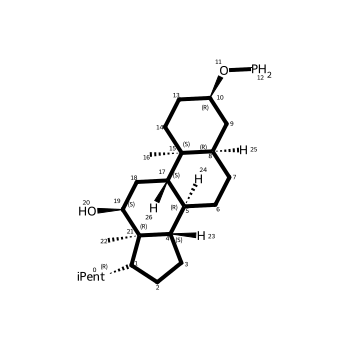 CCC[C@@H](C)C1CC[C@H]2[C@@H]3CC[C@@H]4C[C@H](OP)CC[C@]4(C)[C@H]3C[C@H](O)[C@]12C